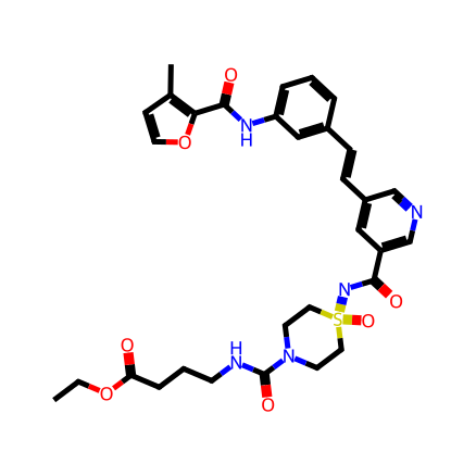 CCOC(=O)CCCNC(=O)N1CCS(=O)(=NC(=O)c2cncc(C=Cc3cccc(NC(=O)c4occc4C)c3)c2)CC1